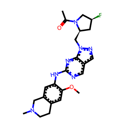 COc1cc2c(cc1Nc1ncc3cnn(C[C@@H]4C[C@H](F)CN4C(C)=O)c3n1)CN(C)CC2